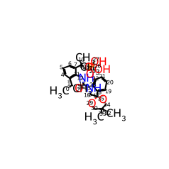 CC(C)c1cccc(C(C)C)c1NC(=O)NCC1(c2cccc(OP(=O)(O)O)c2)OCC(C)(C)CO1